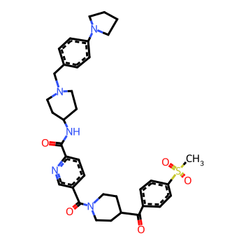 CS(=O)(=O)c1ccc(C(=O)C2CCN(C(=O)c3ccc(C(=O)NC4CCN(Cc5ccc(N6CCCC6)cc5)CC4)nc3)CC2)cc1